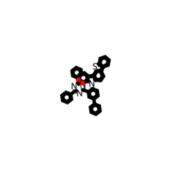 c1ccc(-c2ccc(-n3c4ccccc4c4c5sc6ccccc6c5ccc43)c(-c3nc(-c4ccccc4)nc(-c4ccccc4)n3)c2)cc1